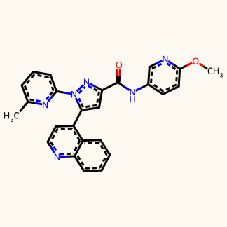 COc1ccc(NC(=O)c2cc(-c3ccnc4ccccc34)n(-c3cccc(C)n3)n2)cn1